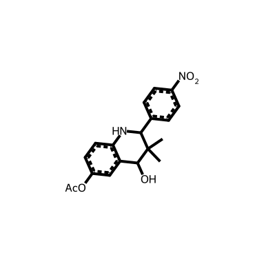 CC(=O)Oc1ccc2c(c1)C(O)C(C)(C)C(c1ccc([N+](=O)[O-])cc1)N2